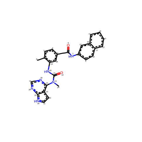 Cc1ccc(C(=O)Nc2ccc3ccccc3c2)cc1NC(=O)N(C)c1ncnc2[nH]ccc12